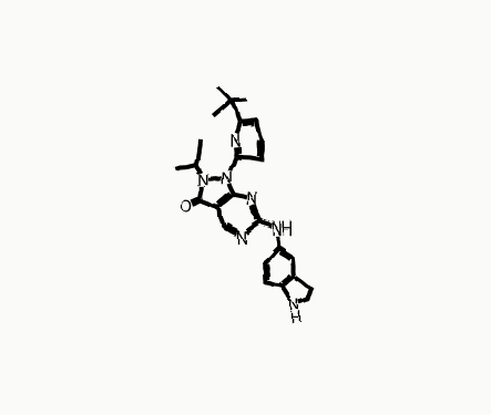 CC(C)n1c(=O)c2cnc(Nc3ccc4c(c3)CCN4)nc2n1-c1cccc(C(C)(C)C)n1